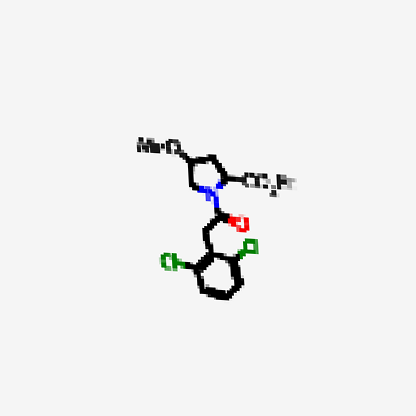 CCOC(=O)C1CC(OC)CN1C(=O)Cc1c(Cl)cccc1Cl